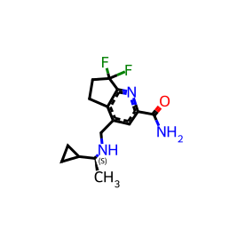 C[C@H](NCc1cc(C(N)=O)nc2c1CCC2(F)F)C1CC1